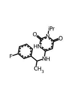 CC(Nc1cc(=O)n(C(C)C)c(=O)[nH]1)c1cccc(F)c1